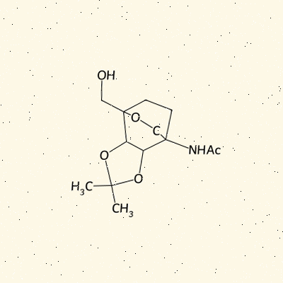 CC(=O)NC12CCC(CO)(OC1)C1OC(C)(C)OC12